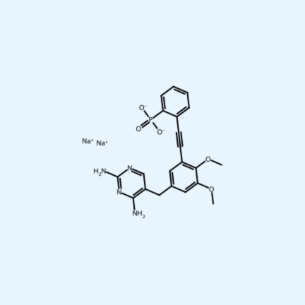 COc1cc(Cc2cnc(N)nc2N)cc(C#Cc2ccccc2P(=O)([O-])[O-])c1OC.[Na+].[Na+]